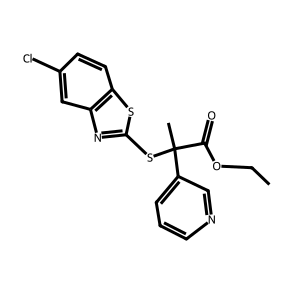 CCOC(=O)C(C)(Sc1nc2cc(Cl)ccc2s1)c1cccnc1